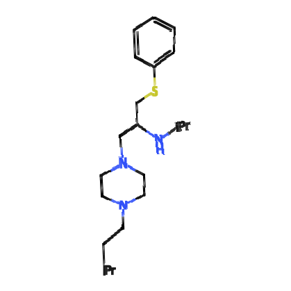 CC(C)CCN1CCN(CC(CSc2ccccc2)NC(C)C)CC1